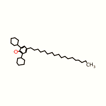 CCCCCCCCCCCCCCCCCCc1cc(C2CCCCC2)c([O])c(C2CCCCC2)c1